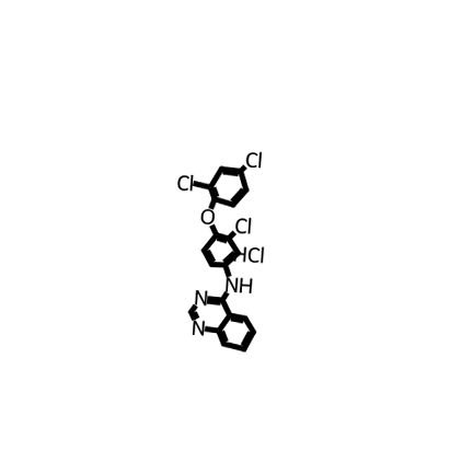 Cl.Clc1ccc(Oc2ccc(Nc3ncnc4ccccc34)cc2Cl)c(Cl)c1